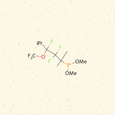 COP(OC)C(C)(C)C(F)(F)C(F)(OC(F)(F)F)C(C)C